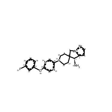 N[C@@H]1c2ccnn2CC12CCN(c1cnc(Oc3cccc(F)c3)cn1)CC2